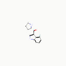 O=C(c1c[nH]c2cccc(F)c12)[C@@H]1CCCN1